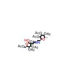 CC(=O)OC[C@H]1O[C@H](O)[C@@](CCNCC[C@@H]2O[C@@H](C)[C@@H](OC(C)=O)[C@@H](OC(C)=O)[C@@H]2OC(C)=O)(OC(C)=O)[C@@H](OC(C)=O)[C@@H]1OC(C)=O